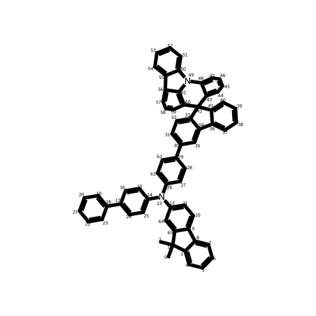 CC1(C)c2ccccc2-c2ccc(N(c3ccc(-c4ccccc4)cc3)c3ccc(-c4ccc5c(c4)-c4ccccc4C54c5ccccc5-n5c6ccccc6c6cccc4c65)cc3)cc21